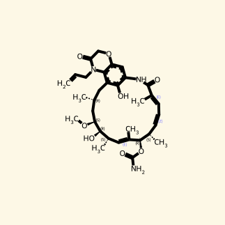 C=CCN1C(=O)COc2cc3c(O)c(c21)C[C@@H](C)C[C@H](OC)[C@H](O)[C@@H](C)/C=C(\C)[C@H](OC(N)=O)[C@@H](C)/C=C\C=C(/C)C(=O)N3